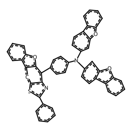 c1ccc(-c2nc3c(-c4ccc(N(c5ccc6c(c5)oc5ccccc56)c5ccc6c(c5)oc5ccccc56)cc4)c4oc5ccccc5c4cc3s2)cc1